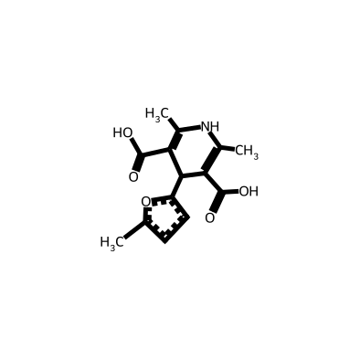 CC1=C(C(=O)O)C(c2ccc(C)o2)C(C(=O)O)=C(C)N1